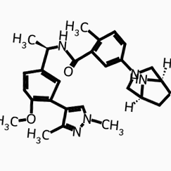 COc1ccc([C@@H](C)NC(=O)c2cc(N3C[C@H]4CC[C@@H](C3)N4)ccc2C)cc1-c1cn(C)nc1C